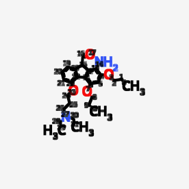 CCCOc1cc(OCCC)c2c(c1N)C(C=O)c1cccc(OCCCN(CC)CC)c1-2